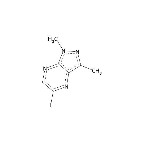 Cc1nn(C)c2ncc(I)nc12